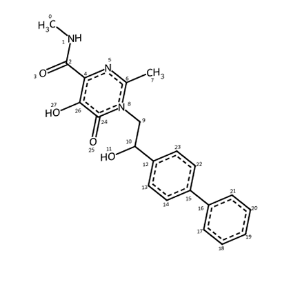 CNC(=O)c1nc(C)n(CC(O)c2ccc(-c3ccccc3)cc2)c(=O)c1O